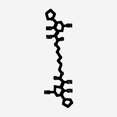 N#CC1=C(N2CCCC2)CC(O)C/C1=C(/C#N)C(=O)OCCCCCCOC(=O)/C(C#N)=C1\CC(O)CC(N2CCCC2)=C1C#N